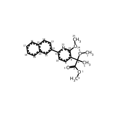 COC(=O)C(C)(OC)c1ccc(-c2ccc3ccccc3c2)nc1OC